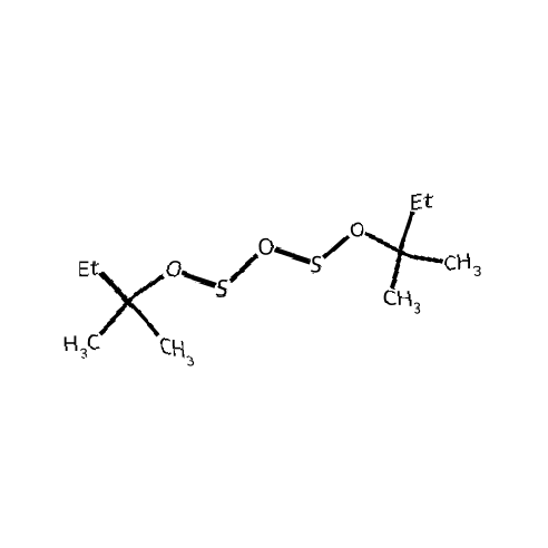 CCC(C)(C)OSOSOC(C)(C)CC